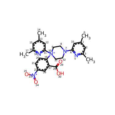 Cc1cc(C)nc(N2CC[N+](c3cc(C)cc(C)n3)(c3ccc([N+](=O)[O-])cc3C(=O)O)CC2)c1